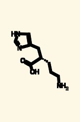 NCCC[C@@H](Cc1c[nH]cn1)C(=O)O